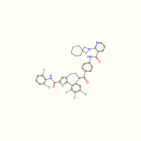 O=C(Nc1c(F)cccc1Cl)c1cc2c(s1)-c1c(cc(F)c(F)c1F)N(C(=O)c1ccc(NC(=O)c3cccnc3N3CC4(CCCCC4)C3)cc1)CC2